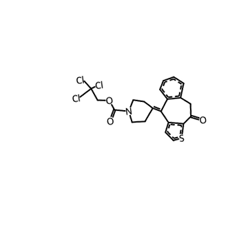 O=C1Cc2ccccc2C(=C2CCN(C(=O)OCC(Cl)(Cl)Cl)CC2)c2ccsc21